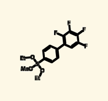 CCO[Si](OC)(OCC)c1ccc(-c2cc(F)c(F)c(F)c2F)cc1